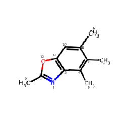 Cc1nc2c(C)c(C)c(C)cc2o1